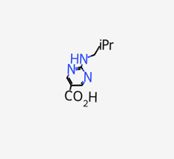 CC(C)CNc1ncc(C(=O)O)cn1